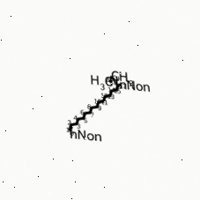 CCCCCCCCC/C=C\CCCCCCCCCCCCCC(CCCCCCCCC)N(C)C